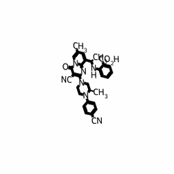 Cc1cc([C@@H](C)Nc2ccccc2C(=O)O)c2nc(N3CCN(c4ccc(C#N)cc4)[C@H](C)C3)c(C#N)c(=O)n2c1